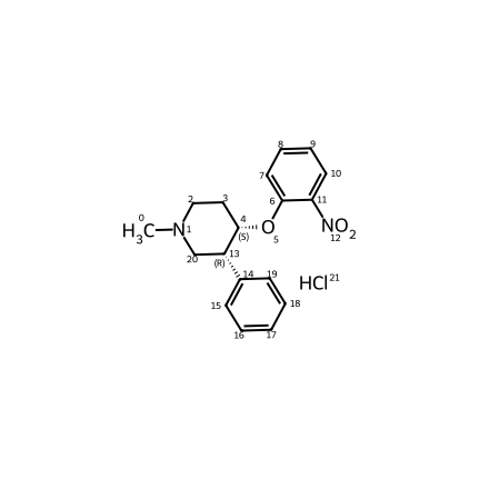 CN1CC[C@H](Oc2ccccc2[N+](=O)[O-])[C@H](c2ccccc2)C1.Cl